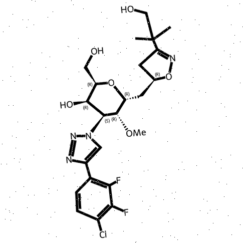 CO[C@@H]1[C@@H](n2cc(-c3ccc(Cl)c(F)c3F)nn2)[C@@H](O)[C@@H](CO)O[C@@H]1C[C@H]1CC(C(C)(C)CO)=NO1